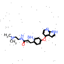 CN(C)CCNC(=O)[C@H](N)Cc1ccc(Oc2ccnc3[nH]ccc23)cc1